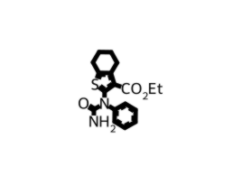 CCOC(=O)c1c(N(C(N)=O)c2ccccc2)sc2c1CCCC2